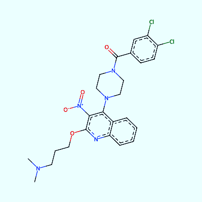 CN(C)CCCOc1nc2ccccc2c(N2CCN(C(=O)c3ccc(Cl)c(Cl)c3)CC2)c1[N+](=O)[O-]